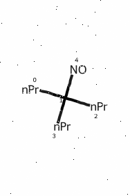 CCCC(CCC)(CCC)N=O